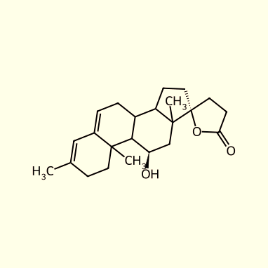 CC1=CC2=CCC3C([C@H](O)CC4(C)C3CC[C@@]43CCC(=O)O3)C2(C)CC1